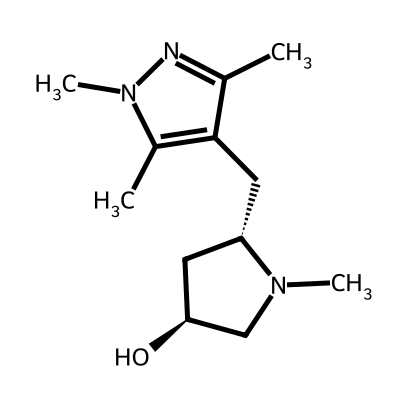 Cc1nn(C)c(C)c1C[C@H]1C[C@H](O)CN1C